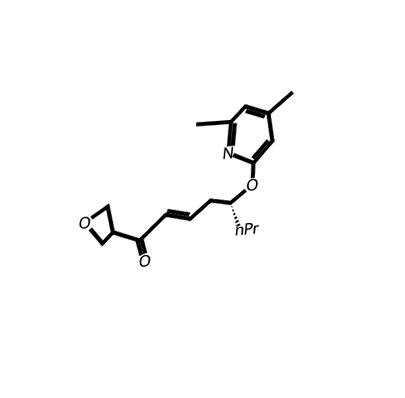 CCC[C@H](C/C=C/C(=O)C1COC1)Oc1cc(C)cc(C)n1